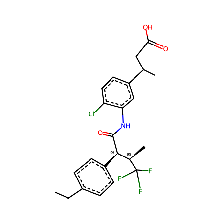 CCc1ccc([C@@H](C(=O)Nc2cc(C(C)CC(=O)O)ccc2Cl)[C@@H](C)C(F)(F)F)cc1